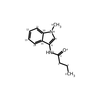 CCCC(=O)Nc1cn(C)c2ccccc12